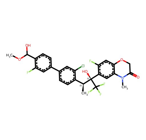 COC(O)c1ccc(-c2ccc([C@H](C)[C@](O)(c3cc4c(cc3F)OCC(=O)N4C)C(F)(F)F)c(Cl)c2)cc1F